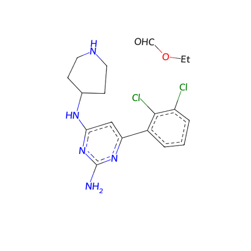 CCOC=O.Nc1nc(NC2CCNCC2)cc(-c2cccc(Cl)c2Cl)n1